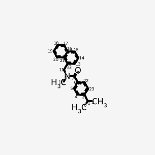 CC(C)c1ccc(C(=O)N(C)Cc2cccc3ccccc23)cc1